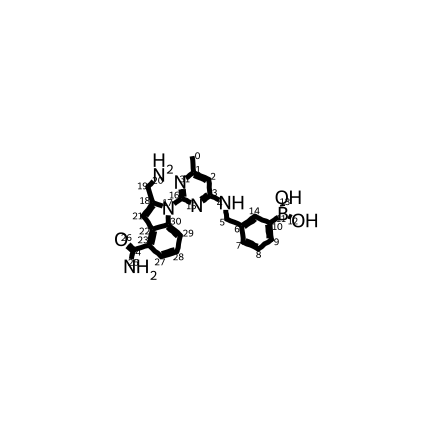 Cc1cc(NCc2cccc(B(O)O)c2)nc(-n2c(CN)cc3c(C(N)=O)cccc32)n1